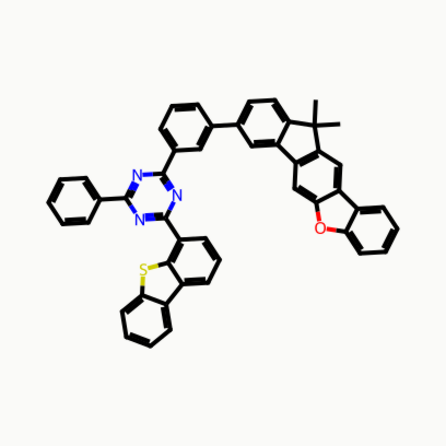 CC1(C)c2ccc(-c3cccc(-c4nc(-c5ccccc5)nc(-c5cccc6c5sc5ccccc56)n4)c3)cc2-c2cc3oc4ccccc4c3cc21